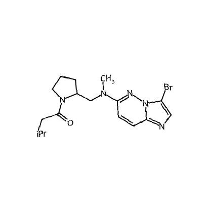 CC(C)CC(=O)N1CCCC1CN(C)c1ccc2ncc(Br)n2n1